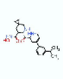 CC(C)c1cccc(C2=CCNC(C(=O)[C@H]3NCC4(CC4)C[C@@H]3C(=O)NO)C2)c1